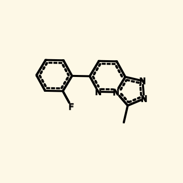 Cc1nnc2ccc(-c3ccccc3F)nn12